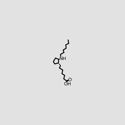 CCCCCCCN[C@H]1CCC[C@@H]1CCCCCCC(=O)O